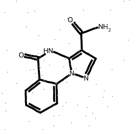 NC(=O)c1cnn2c1[nH]c(=O)c1ccccc12